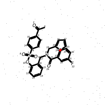 CC(=O)c1ccc(S(=O)(=O)Oc2ccccc2CN(Cc2ccco2)C(=O)c2cccc(F)c2)cc1